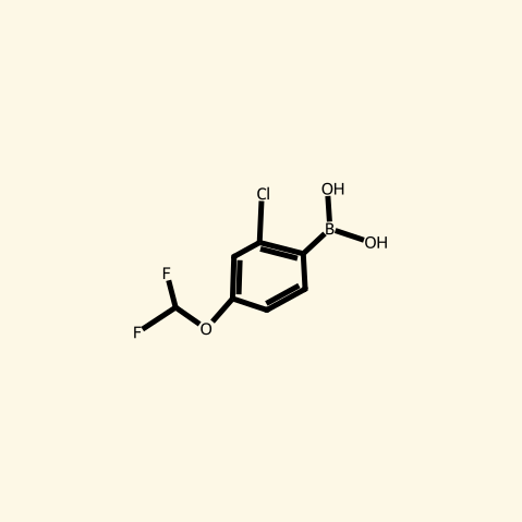 OB(O)c1ccc(OC(F)F)cc1Cl